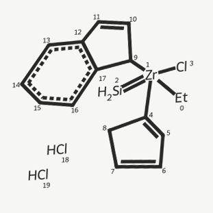 C[CH2][Zr](=[SiH2])([Cl])([C]1=CC=CC1)[CH]1C=Cc2ccccc21.Cl.Cl